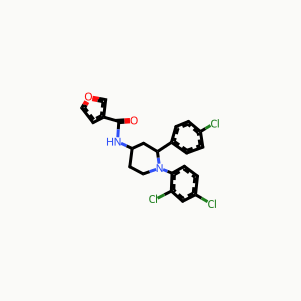 O=C(NC1CCN(c2ccc(Cl)cc2Cl)C(c2ccc(Cl)cc2)C1)c1ccoc1